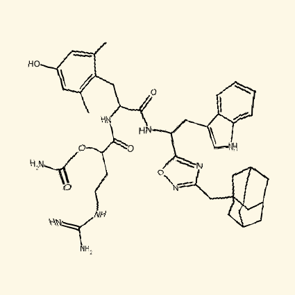 Cc1cc(O)cc(C)c1CC(NC(=O)C(CCNC(=N)N)OC(N)=O)C(=O)NC(Cc1c[nH]c2ccccc12)c1nc(CC23CC4CC(CC(C4)C2)C3)no1